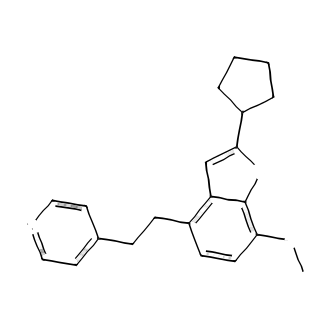 COc1ccc(CCc2ccncc2)c2cc(C3CCCC3)oc12